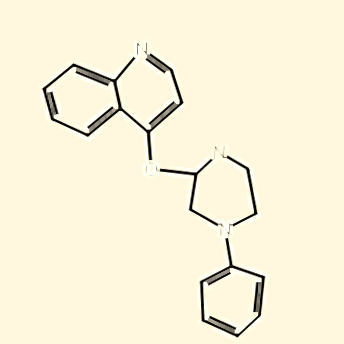 c1ccc(N2CC[N]C(Oc3ccnc4ccccc34)C2)cc1